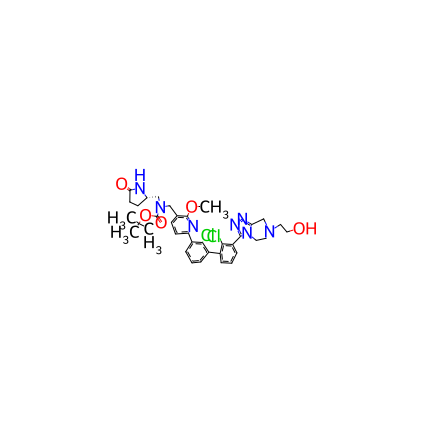 COc1nc(-c2cccc(-c3cccc(-c4nnc5n4CCN(CCO)C5)c3Cl)c2Cl)ccc1CN(C[C@@H]1CCC(=O)N1)C(=O)OC(C)(C)C